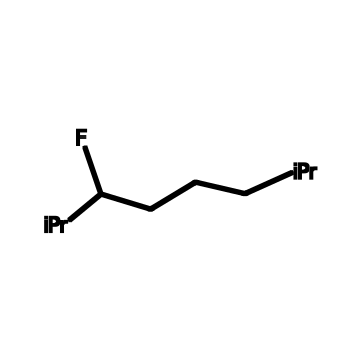 CC(C)CCCC(F)C(C)C